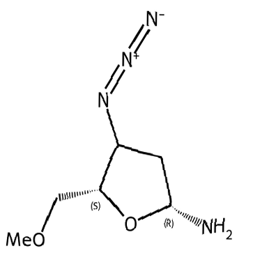 COC[C@H]1O[C@@H](N)CC1N=[N+]=[N-]